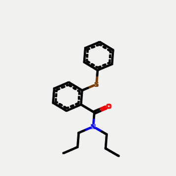 CCCN(CCC)C(=O)c1ccccc1Sc1ccccc1